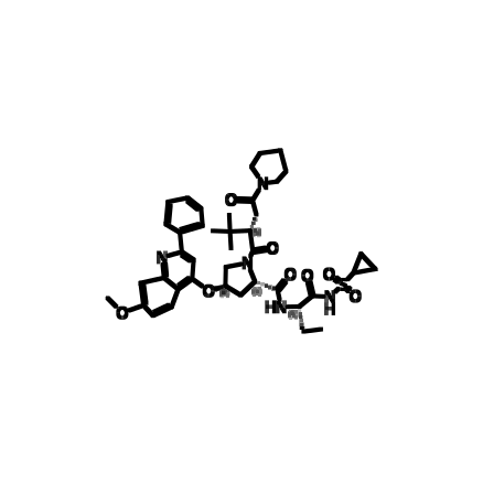 CC[C@H](NC(=O)[C@@H]1C[C@@H](Oc2cc(-c3ccccc3)nc3cc(OC)ccc23)CN1C(=O)[C@@H](CC(=O)N1CCCCC1)C(C)(C)C)C(=O)NS(=O)(=O)C1CC1